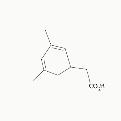 CC1=CC(CC(=O)O)CC(C)=C1